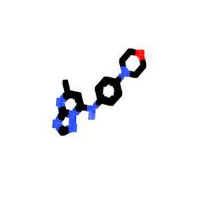 Cc1cc(Nc2ccc(N3CCOCC3)cc2)n2ncnc2n1